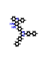 N=C1C(=N)c2c(c(-c3ccccc3)nc3ccccc23)C=C1c1ccc(-c2cc(-c3ccc(-c4ccccc4)cc3)nc(-c3ccc(-c4ccccc4)cc3)n2)cc1